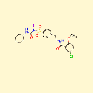 COc1ccc(Cl)cc1C(=O)NCCc1ccc(S(=O)(=O)N(I)C(=O)NC2CCCCC2)cc1